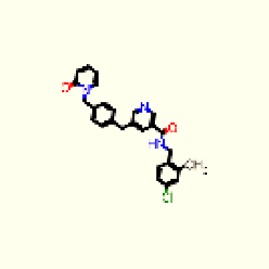 Cc1cc(Cl)ccc1CNC(=O)c1cncc(Cc2ccc(Cn3ccccc3=O)cc2)c1